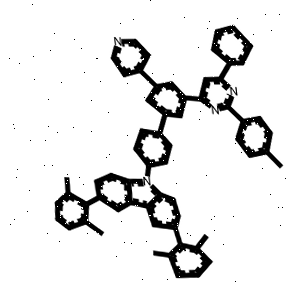 Cc1ccc(-c2nc(-c3ccccc3)cc(-c3cc(-c4ccncc4)cc(-c4ccc(-n5c6ccc(-c7c(C)cccc7C)cc6c6cc(-c7c(C)cccc7C)ccc65)cc4)c3)n2)cc1